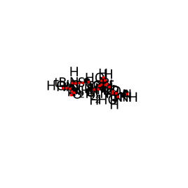 CC[C@H](NC(=O)[C@@](C)(NC(=O)[C@H](Cc1ccc(O)cc1)NC(=O)CNC(=O)[C@H](CCCN)NC(=O)[C@H](Cc1c[nH]c2ncccc12)NC(=O)C[C@@H](C)O)C(C)C)C(=O)N[C@H](CSCc1cccc(CSCCC(=O)N[C@H](C(=O)N[C@@H](Cc2ccc(O)cc2)C(=O)N2CCC[C@H]2C(N)=O)C(C)(C)C)c1)C(N)=O